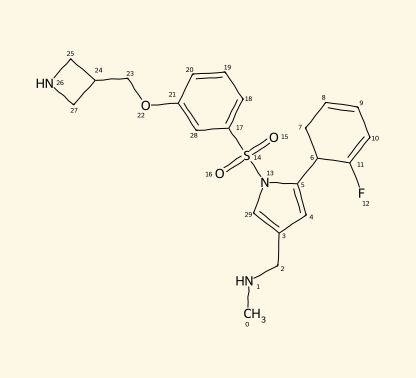 CNCc1cc(C2CC=CC=C2F)n(S(=O)(=O)c2cccc(OCC3CNC3)c2)c1